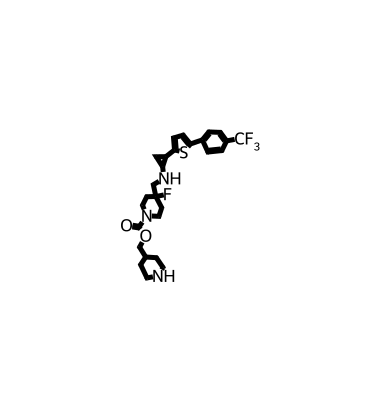 O=C(OCC1CCNCC1)N1CCC(F)(CNC2CC2c2ccc(-c3ccc(C(F)(F)F)cc3)s2)CC1